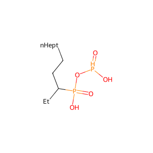 CCCCCCCCCC(CC)P(=O)(O)O[PH](=O)O